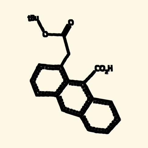 CC(C)(C)OC(=O)Cc1cccc2cc3ccccc3c(C(=O)O)c12